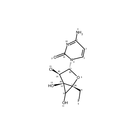 Nc1ccn([C@@H]2O[C@]3(CF)C(O)[C@]3(O)[C@H]2Cl)c(=O)n1